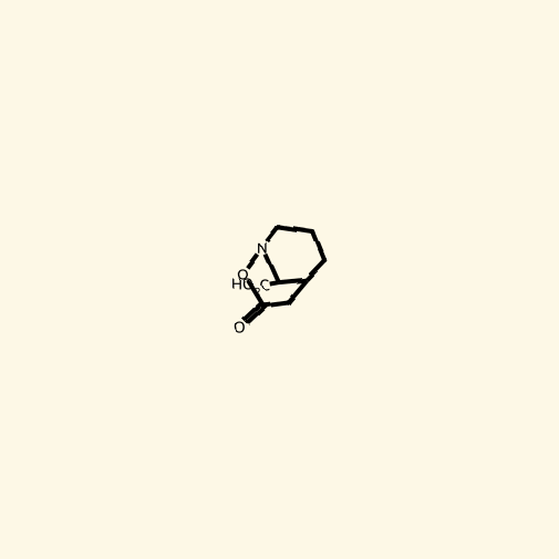 O=C1CC2CCCN(O1)C2C(=O)O